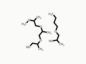 CCCCOCC(C)O.COC(C)COC(C)COC(C)CO